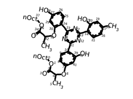 CCCCCCCCOC(=O)C(C)Oc1ccc(-c2nc(-c3ccc(C)cc3O)nc(-c3ccc(O)cc3OC(C)C(=O)OCCCCCCCC)n2)c(O)c1